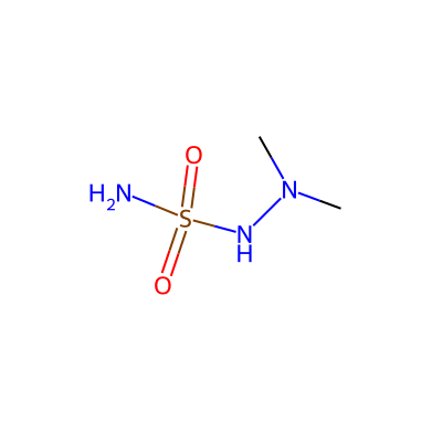 CN(C)NS(N)(=O)=O